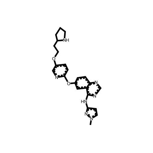 Cn1ccc(Nc2ncnc3ccc(Oc4ccc(OCCC5CCCN5)cn4)cc23)n1